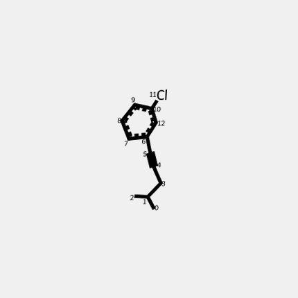 CC(C)CC#Cc1cccc(Cl)c1